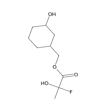 CC(O)(F)C(=O)OCC1CCCC(O)C1